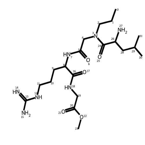 CCCN(CC(=O)NC(CCCNC(=N)N)C(=O)NCC(=O)OC)C(=O)C(N)CC(C)C